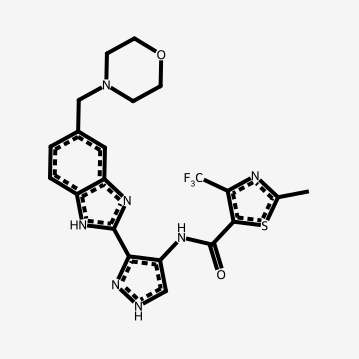 Cc1nc(C(F)(F)F)c(C(=O)Nc2c[nH]nc2-c2nc3cc(CN4CCOCC4)ccc3[nH]2)s1